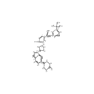 Cc1ccc(C(=O)Nc2cncc(C(F)(F)F)c2)cc1[C@@H]1CCN(c2cnc3ccc(N4CCN(C)CC4)nn23)C1